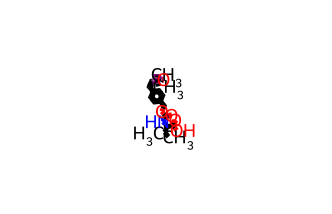 CC(C)C(NC(=O)OCc1ccc(/C=C\P(C)(C)=O)cc1)C(=O)O